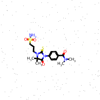 CN(C)C(=O)c1ccc(N2C(=O)C(C)(C)N(CCCS(N)(=O)=O)C2=S)cc1